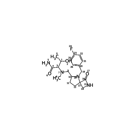 CC(O)C(C(N)=O)N(C)CC1CCC2(CNC2=O)N1Cc1ccc(F)cc1